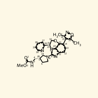 COC(=O)NC[C@H]1CCN(c2nc3ccc(-c4c(C)noc4C)c4c3n2[C@@H](c2ccccn2)CO4)C1